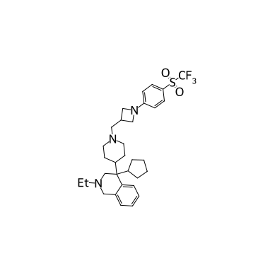 CCN1Cc2ccccc2C(C2CCCC2)(C2CCN(CC3CN(c4ccc(S(=O)(=O)C(F)(F)F)cc4)C3)CC2)C1